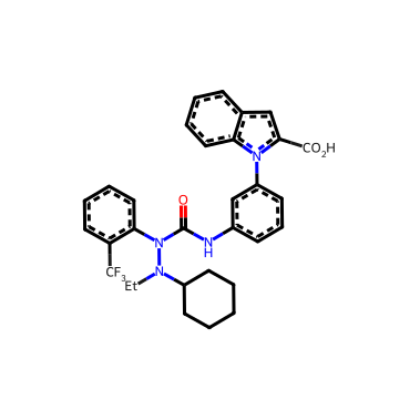 CCN(C1CCCCC1)N(C(=O)Nc1cccc(-n2c(C(=O)O)cc3ccccc32)c1)c1ccccc1C(F)(F)F